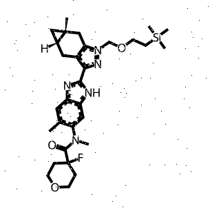 Cc1cc2nc(-c3nn(COCC[Si](C)(C)C)c4c3C[C@@H]3C[C@]3(C)C4)[nH]c2cc1N(C)C(=O)C1(F)CCOCC1